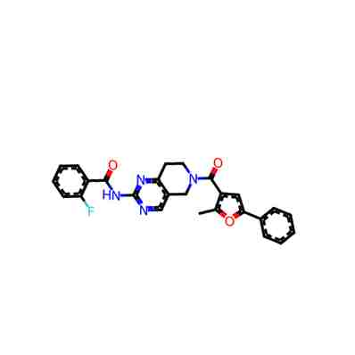 Cc1oc(-c2ccccc2)cc1C(=O)N1CCc2nc(NC(=O)c3ccccc3F)ncc2C1